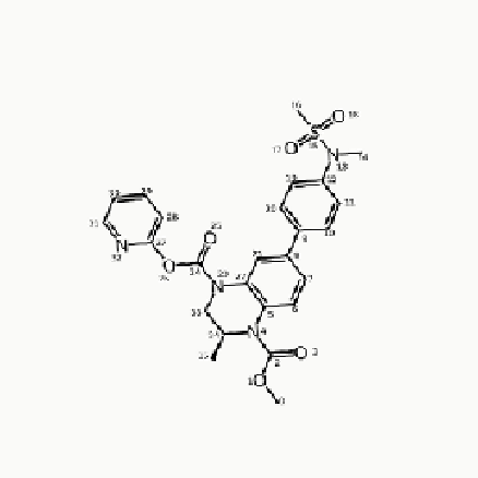 COC(=O)N1c2ccc(-c3ccc(N(C)S(C)(=O)=O)cc3)cc2N(C(=O)Oc2ccccn2)C[C@@H]1C